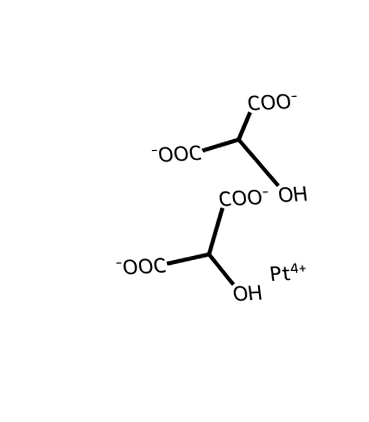 O=C([O-])C(O)C(=O)[O-].O=C([O-])C(O)C(=O)[O-].[Pt+4]